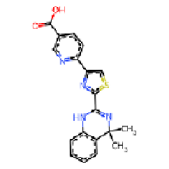 CC1(C)N=C(c2nc(-c3ccc(C(=O)O)cn3)cs2)Nc2ccccc21